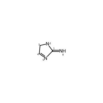 N=C1[N]CC=N1